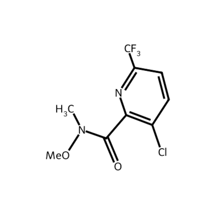 CON(C)C(=O)c1nc(C(F)(F)F)ccc1Cl